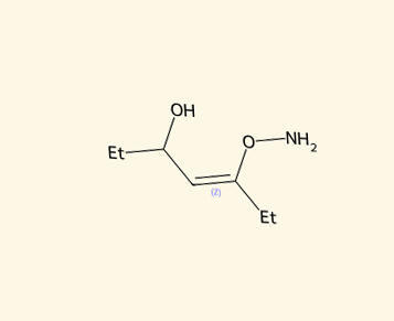 CC/C(=C/C(O)CC)ON